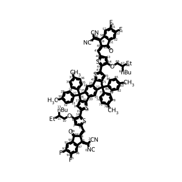 [C-]#[N+]/C(C#N)=C1/C(=C/c2cc(OCC(CC)CCCC)c(-c3cc4c(s3)-c3cc5c(cc3C4(c3ccc(C)cc3)c3ccc(C)cc3)-c3sc(-c4sc(/C=C6\C(=O)c7cc(F)c(F)cc7C6=C(C#N)C#N)cc4OCC(CC)CCCC)cc3C5(c3ccc(C)cc3)c3ccc(C)cc3)s2)C(=O)c2cc(F)c(F)cc21